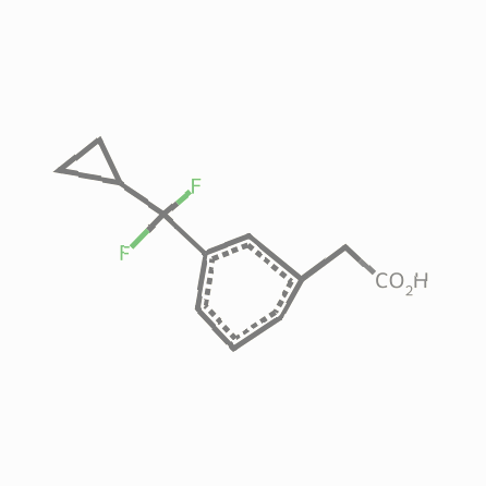 O=C(O)Cc1cccc(C(F)(F)C2CC2)c1